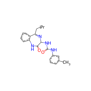 Cc1cccc(NC(=O)NC2N=C(CC(C)C)c3ccccc3NC2=O)c1